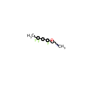 C/C=C/CCC1CCC(c2ccc(-c3ccc(-c4ccc(CCC)c(F)c4F)cc3)cc2F)OC1